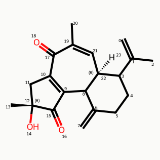 C=C(C)C1CCC(=C)C2C3=C(C[C@@](C)(O)C3=O)C(=O)C(C)=C[C@@H]12